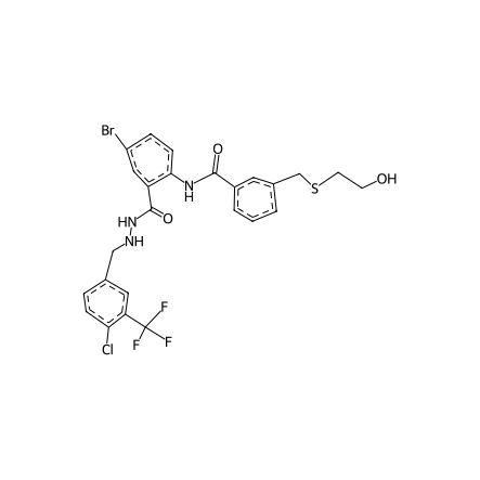 O=C(Nc1ccc(Br)cc1C(=O)NNCc1ccc(Cl)c(C(F)(F)F)c1)c1cccc(CSCCO)c1